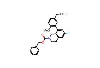 COc1ccc(CC(=O)O)cc1-c1cc(F)cc2c1CN(C(=O)OCc1ccccc1)CC2